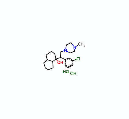 CN1CCN(CC(c2cccc(Cl)c2)C2(O)CCCC3CCCCC32)CC1.Cl.Cl